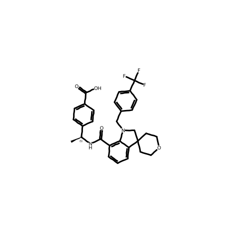 C[C@H](NC(=O)c1cccc2c1N(Cc1ccc(C(F)(F)F)cc1)CC21CCOCC1)c1ccc(C(=O)O)cc1